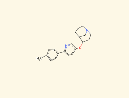 Cc1ccc(-c2ccc(OC3CCN4CCCC3C4)cn2)cc1